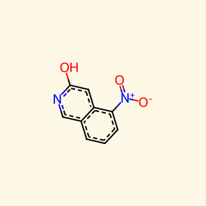 O=[N+]([O-])c1cccc2cnc(O)cc12